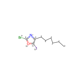 CCCCCCc1nc(Br)oc1I